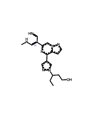 CCC(CCO)n1cc(-c2nc(/C(C=N)=C/NC)cn3nccc23)cn1